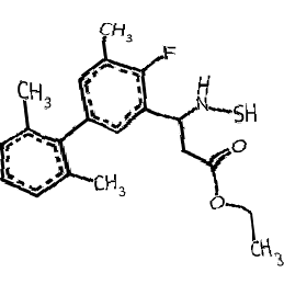 CCOC(=O)CC(NS)c1cc(-c2c(C)cccc2C)cc(C)c1F